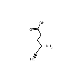 C#C[C@@H](N)CCC(=O)O